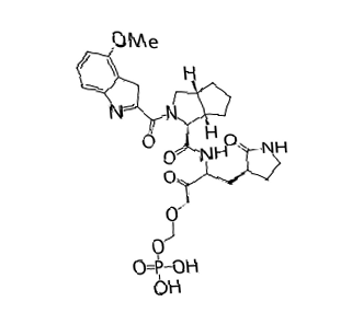 COc1cccc2c1CC(C(=O)N1C[C@@H]3CCC[C@@H]3[C@H]1C(=O)NC(C[C@@H]1CCNC1=O)C(=O)COCOP(=O)(O)O)=N2